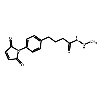 CNNC(=O)CCCc1ccc(N2C(=O)C=CC2=O)cc1